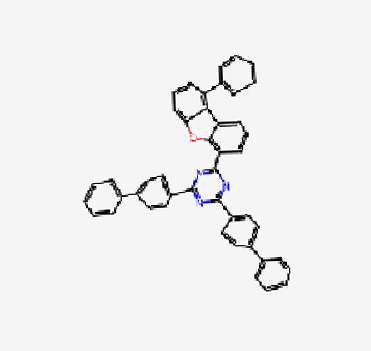 c1ccc(-c2ccc(-c3nc(-c4ccc(-c5ccccc5)cc4)nc(-c4cccc5c4oc4cccc(-c6ccccc6)c45)n3)cc2)cc1